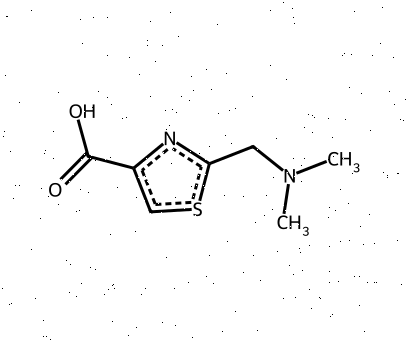 CN(C)Cc1nc(C(=O)O)cs1